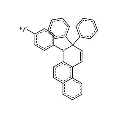 FC(F)(F)c1ccc(N2c3ccc4ccccc4c3C=CC2(c2ccccc2)c2ccccc2)cc1